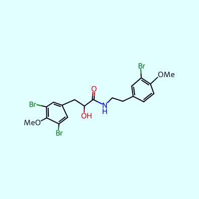 COc1ccc(CCNC(=O)C(O)Cc2cc(Br)c(OC)c(Br)c2)cc1Br